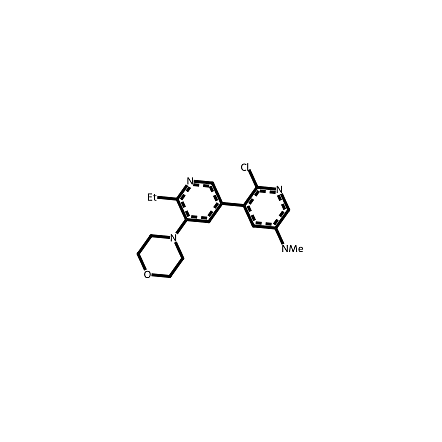 CCc1ncc(-c2cc(NC)cnc2Cl)cc1N1CCOCC1